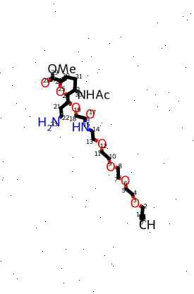 C#CCOCCOCCOCCOCCNC(=O)COC(CCN)C1OC(C(=O)OC)=CCC1NC(C)=O